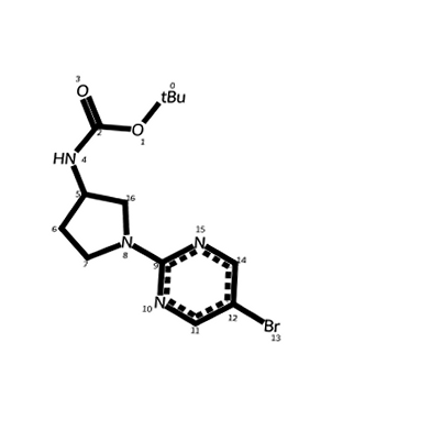 CC(C)(C)OC(=O)NC1CCN(c2ncc(Br)cn2)C1